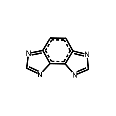 C1=Nc2c3c(ccc2=N1)=NC=N3